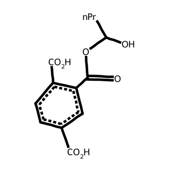 CCCC(O)OC(=O)c1cc(C(=O)O)ccc1C(=O)O